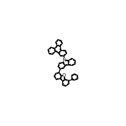 c1ccc(-c2cccc3c2oc2c(-c4ccc5c(c4)c4ccccc4n5-c4ccc5c6ccccc6c6ccccc6c5c4)cccc23)cc1